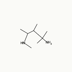 CNC(C)C(C)C(C)(C)N